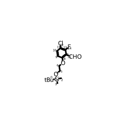 CC(C)(C)[Si](C)(C)OCCOc1ccc(Cl)c(F)c1C=O